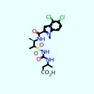 CC(CC(=O)O)NC(=O)NS(=O)(=O)C(C)[C@@H](C)NC(=O)c1cc2c(Cl)c(Cl)ccc2n1C